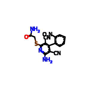 N#Cc1c(N)nc(SCC(N)=O)c(C#N)c1-c1ccccc1[N+](=O)[O-]